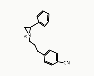 N#Cc1ccc(CCC[N@@]2CC2c2ccccc2)cc1